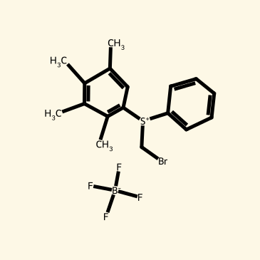 Cc1cc([S+](CBr)c2ccccc2)c(C)c(C)c1C.F[B-](F)(F)F